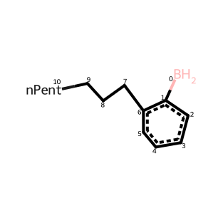 Bc1ccccc1CCCCCCCC